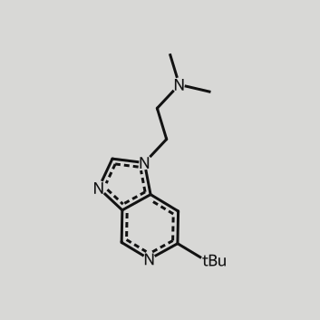 CN(C)CCn1cnc2cnc(C(C)(C)C)cc21